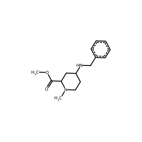 COC(=O)C1CC(NCc2ccccc2)CCN1C